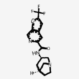 O=C(N[C@@H]1C[C@@H]2CCN(C2)C1)c1cc2cc(C(F)(F)F)oc2cn1